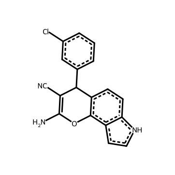 N#CC1=C(N)Oc2c(ccc3[nH]ccc23)C1c1cccc(Cl)c1